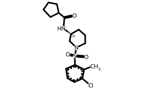 Cc1c(Cl)cccc1S(=O)(=O)N1CCC[C@H](NC(=O)C2CCCC2)C1